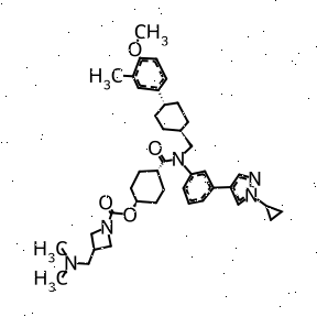 COc1ccc([C@H]2CC[C@H](CN(c3cccc(-c4cnn(C5CC5)c4)c3)C(=O)[C@H]3CC[C@H](OC(=O)N4CC(CN(C)C)C4)CC3)CC2)cc1C